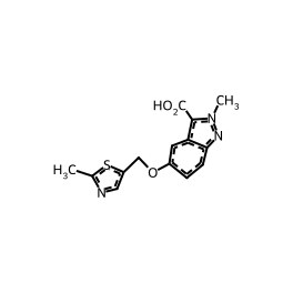 Cc1ncc(COc2ccc3nn(C)c(C(=O)O)c3c2)s1